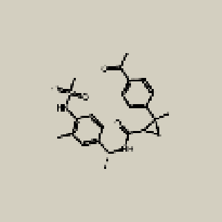 CC(=O)c1ccc(C2(C)CC2C(=O)N[C@H](C)c2ccc(NS(C)(=O)=O)c(C)c2)cc1